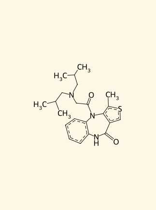 Cc1scc2c1N(C(=O)CN(CC(C)C)CC(C)C)c1ccccc1NC2=O